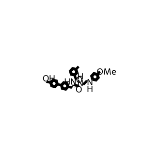 COc1ccc(NCCNC(=O)[C@H](Cc2ccc(-c3ccc(CO)cc3)cc2)NC(=O)c2cccc(C)c2)cc1